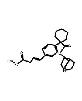 CC(C)(C)OC(=O)C/C=C/c1ccc(C2(C(=O)OC3CN4CCC3CC4)CCCCC2)cc1